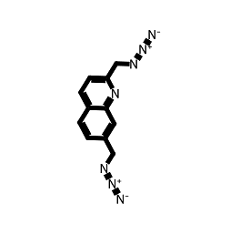 [N-]=[N+]=NCc1ccc2ccc(CN=[N+]=[N-])nc2c1